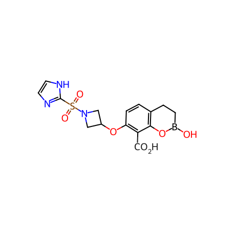 O=C(O)c1c(OC2CN(S(=O)(=O)c3ncc[nH]3)C2)ccc2c1OB(O)CC2